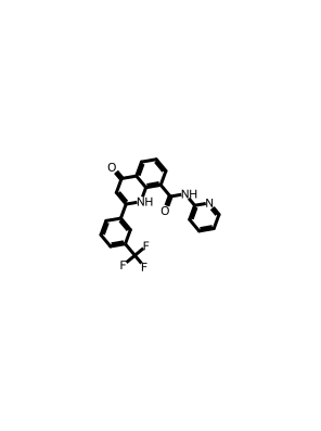 O=C(Nc1ccccn1)c1cccc2c(=O)cc(-c3cccc(C(F)(F)F)c3)[nH]c12